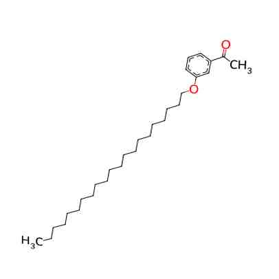 CCCCCCCCCCCCCCCCCCCCCOc1cccc(C(C)=O)c1